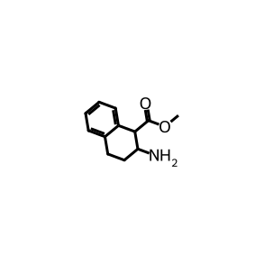 COC(=O)C1c2ccccc2CCC1N